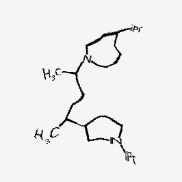 CC(C)C1CCN(C(C)CCC(C)[C@H]2CCN(C(C)C)C2)CC1